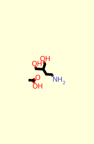 CC(=O)O.NCCC(CO)CO